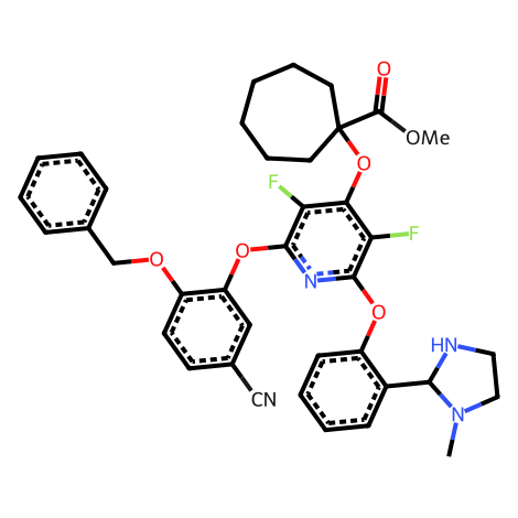 COC(=O)C1(Oc2c(F)c(Oc3cc(C#N)ccc3OCc3ccccc3)nc(Oc3ccccc3C3NCCN3C)c2F)CCCCCC1